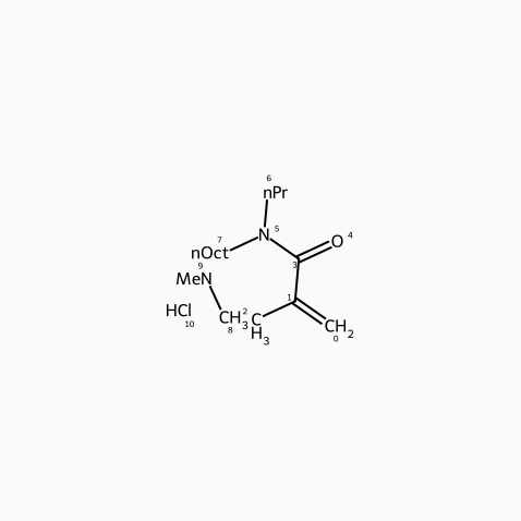 C=C(C)C(=O)N(CCC)CCCCCCCC.CNC.Cl